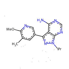 COc1ncc(-c2nn(C(C)C)c3ncnc(N)c23)cc1C